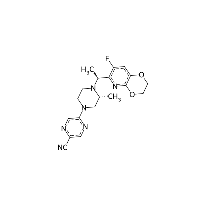 C[C@@H]1CN(c2cnc(C#N)cn2)CCN1[C@@H](C)c1nc2c(cc1F)OCCO2